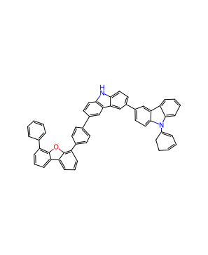 C1=CCCC(n2c3ccccc3c3cc(-c4ccc5[nH]c6ccc(-c7ccc(-c8cccc9c8oc8c(-c%10ccccc%10)cccc89)cc7)cc6c5c4)ccc32)=C1